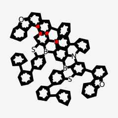 c1ccc(-c2ccccc2-c2ccc3c(c2)Sc2cc(-c4cccc5oc6ccccc6c45)cc4c2B3c2cc3c(cc2N4c2ccccc2-c2ccccc2)N(c2ccccc2-c2ccccc2)c2cc(-c4cccc5oc6ccccc6c45)cc4c2B3c2ccc(-c3ccccc3-c3ccccc3)cc2S4)cc1